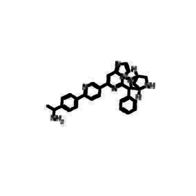 CC(N)c1ccc(-c2ccc(C3=CC4=NC=C[N@+]4(N4C[C@@H]5C[C@H]4CN5)C(Cc4ccccc4)=N3)cn2)cc1